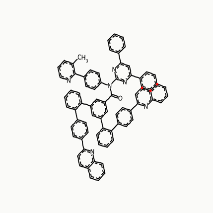 Cc1cccnc1-c1ccc(N(C(=O)c2cc(-c3ccccc3-c3ccc(-c4ccc5ccccc5n4)cc3)cc(-c3ccccc3-c3ccc(-c4ccc5ccccc5n4)cc3)c2)c2nc(-c3ccccc3)cc(-c3ccccc3)n2)cc1